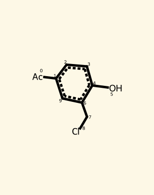 CC(=O)c1ccc(O)c(CCl)c1